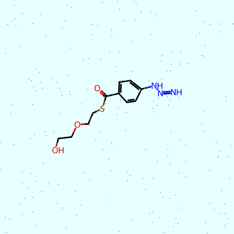 N=NNc1ccc(C(=O)SCCOCCO)cc1